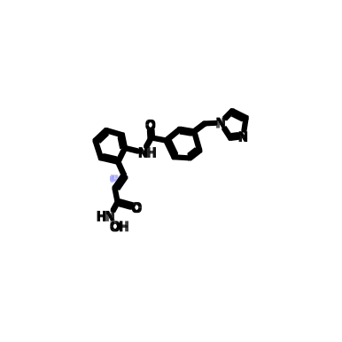 O=C(/C=C/c1ccccc1NC(=O)c1cccc(Cn2ccnc2)c1)NO